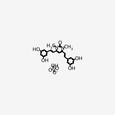 Cn1c(C=Cc2cc(O)cc(O)c2)cc(C=Cc2cc(O)cc(O)c2)[n+](C)c1=O.O=S(=O)([O-])O